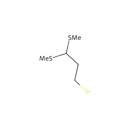 CSC(CC[S])SC